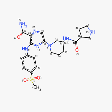 CS(=O)(=O)c1ccc(Nc2nc(N3CCC[C@@H](NC(=O)C4CCNC4)C3)cnc2C(N)=O)cc1